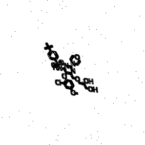 COc1ccc(Oc2c(COC[C@@H](O)CO)nc(N3CCOCC3)nc2NS(=O)(=O)c2ccc(C(C)(C)C)cc2)c(Cl)c1